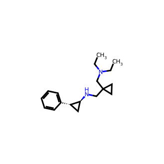 CCN(CC)CC1(CN[C@H]2C[C@@H]2c2ccccc2)CC1